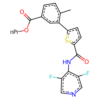 CCCOC(=O)c1ccc(C)c(-c2ccc(C(=O)Nc3c(F)cncc3F)s2)c1